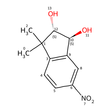 CC1(C)c2ccc([N+](=O)[O-])cc2[C@H](O)[C@H]1O